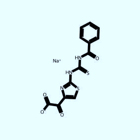 O=C([O-])C(=O)c1csc(NC(=S)NC(=O)c2ccccc2)n1.[Na+]